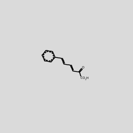 O=C(O)C(=O)C=CC=Cc1ccccc1